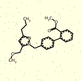 CCCc1cc(COC)n(Cc2ccc(-c3ccccc3C(=O)OC)cc2)n1